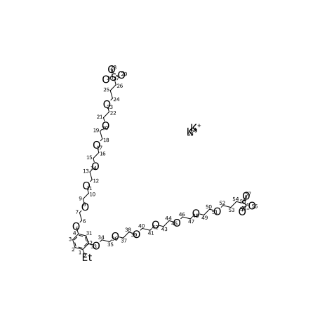 CCc1ccc(OCCOCCOCCOCCOCCOCCOCCCS(=O)(=O)[O-])cc1OCCOCCOCCOCCOCCOCCOCCCS(=O)(=O)[O-].[K+].[K+]